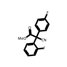 COC(=O)C(C#N)(c1ccc(F)cc1)c1ccccc1F